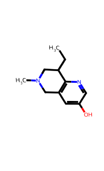 CCC1CN(C)Cc2cc(O)cnc21